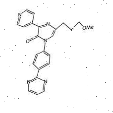 COCCCc1cn(-c2ccc(-c3ncccn3)cc2)c(=O)c(-c2ccncc2)n1